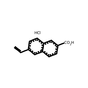 C=Cc1ccc2cc(C(=O)O)ccc2c1.Cl